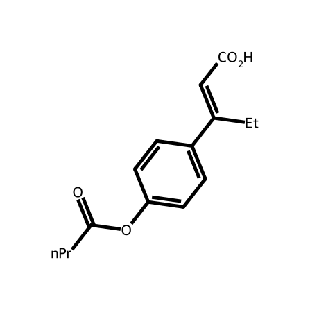 CCCC(=O)Oc1ccc(C(=CC(=O)O)CC)cc1